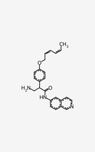 C/C=C\C=C/COc1ccc(C(CN)C(=O)Nc2ccc3cnccc3c2)cc1